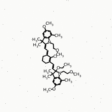 CCOC1(/C=C/C2=C(Cl)C(=C/C=C3\N(CCOC)c4c(C)cc(OC)cc4C3(C)C)/CCC2)N(CCOC)c2c(C)cc(OC)cc2C1(C)C